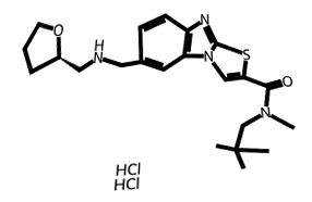 CN(CC(C)(C)C)C(=O)c1cn2c(nc3ccc(CNC[C@H]4CCCO4)cc32)s1.Cl.Cl